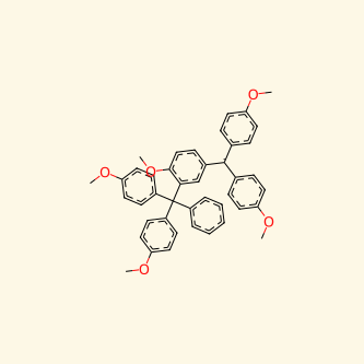 COc1ccc([C](c2ccc(OC)cc2)c2ccc(OC)c(C(c3ccccc3)(c3ccc(OC)cc3)c3ccc(OC)cc3)c2)cc1